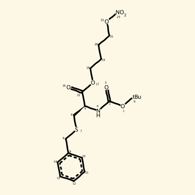 CC(C)(C)OC(=O)N[C@@H](CSCc1ccccc1)C(=O)OCCCCO[N+](=O)[O-]